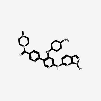 CC(C)n1ncc2ccc(Nc3cc(NC4CCC(N)CC4)c(-c4ccc(C(=O)N5CCN(C)CC5)cn4)cn3)nc21